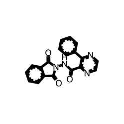 O=C(NN1C(=O)c2ccccc2C1=O)c1nccnc1-c1ccccc1